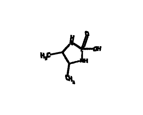 CC1NP(=O)(O)NC1C